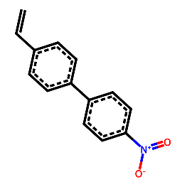 C=Cc1ccc(-c2ccc([N+](=O)[O-])cc2)cc1